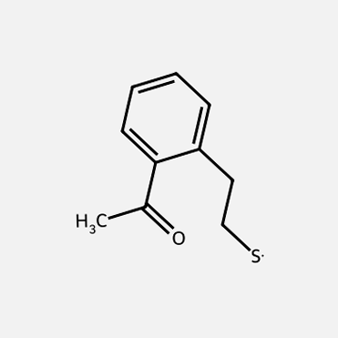 CC(=O)c1ccccc1CC[S]